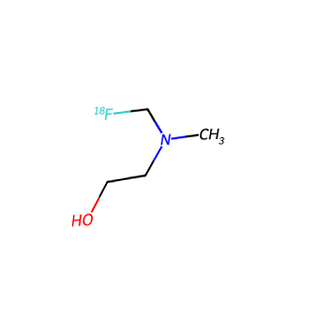 CN(C[18F])CCO